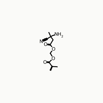 C=C(C)C(=O)OCOC(=O)CC(C)(N)C#N